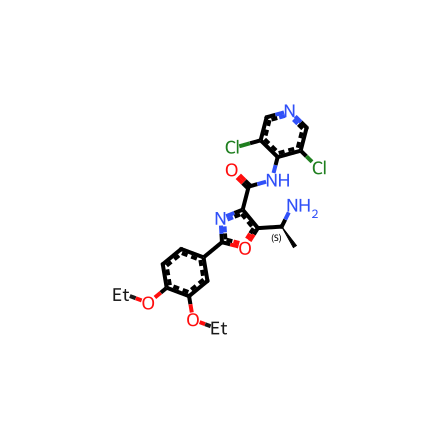 CCOc1ccc(-c2nc(C(=O)Nc3c(Cl)cncc3Cl)c([C@H](C)N)o2)cc1OCC